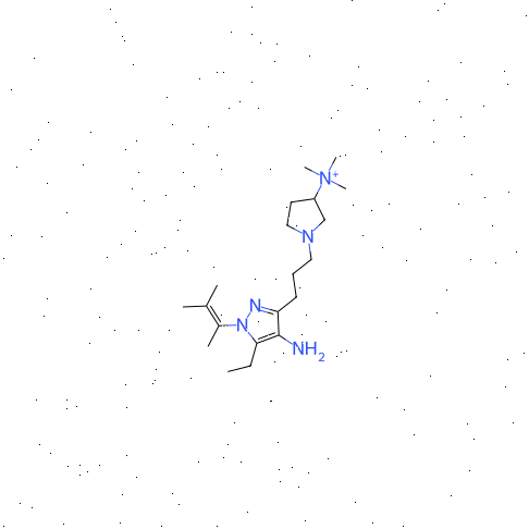 CCc1c(N)c(CCCN2CCC([N+](C)(C)C)C2)nn1C(C)=C(C)C